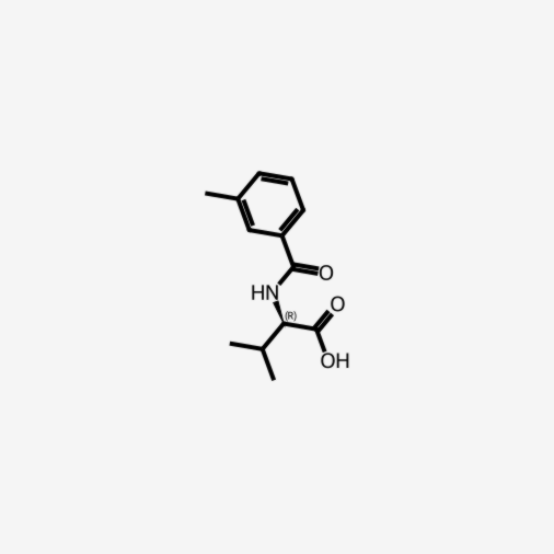 Cc1cccc(C(=O)N[C@@H](C(=O)O)C(C)C)c1